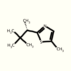 Cc1cnc([C@@H](C)C(C)(C)C)s1